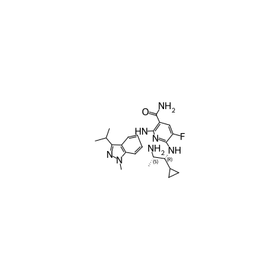 CC(C)c1nn(C)c2ccc(Nc3nc(N[C@H](C4CC4)[C@H](C)N)c(F)cc3C(N)=O)cc12